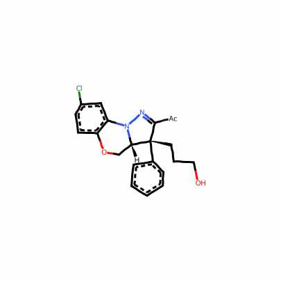 CC(=O)C1=NN2c3cc(Cl)ccc3OC[C@H]2[C@@]1(CCCO)c1ccccc1